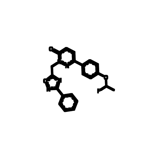 CC(F)Oc1ccc(-c2ccc(=O)n(Cc3nc(-c4ccccc4)no3)n2)cc1